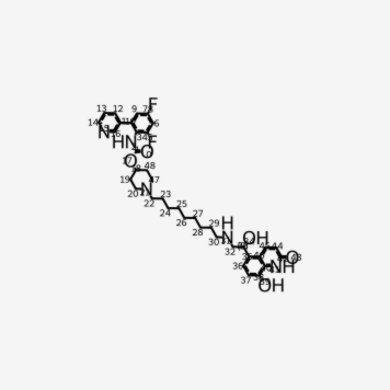 O=C(Nc1c(F)cc(F)cc1-c1cccnc1)OC1CCN(CCCCCCCCCNC[C@@H](O)c2ccc(O)c3[nH]c(=O)ccc23)CC1